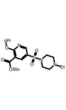 CCCOc1ncc(S(=O)(=O)N2CCN(CC)CC2)cc1C(=O)OC